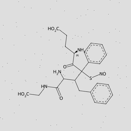 NC(C(=O)NCC(=O)O)C(Cc1ccccc1)C(SN=O)(C(=O)[C@H](N)CCC(=O)O)c1ccccc1